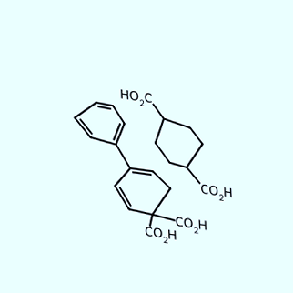 O=C(O)C1(C(=O)O)C=CC(c2ccccc2)=CC1.O=C(O)C1CCC(C(=O)O)CC1